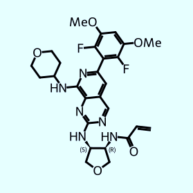 C=CC(=O)N[C@H]1COC[C@H]1Nc1ncc2cc(-c3c(F)c(OC)cc(OC)c3F)nc(NC3CCOCC3)c2n1